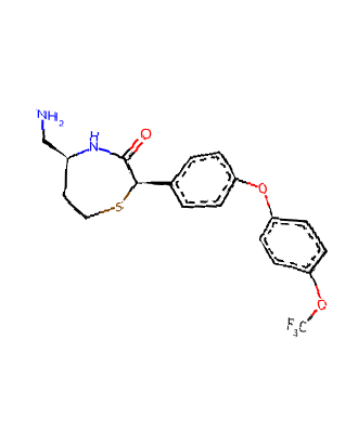 NC[C@@H]1CCS[C@H](c2ccc(Oc3ccc(OC(F)(F)F)cc3)cc2)C(=O)N1